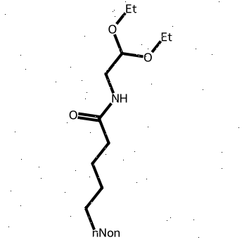 CCCCCCCCCCCCCC(=O)NCC(OCC)OCC